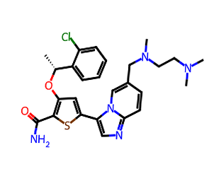 C[C@@H](Oc1cc(-c2cnc3ccc(CN(C)CCN(C)C)cn23)sc1C(N)=O)c1ccccc1Cl